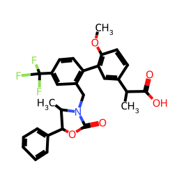 COc1ccc(C(C)C(=O)O)cc1-c1ccc(C(F)(F)F)cc1CN1C(=O)OC(c2ccccc2)C1C